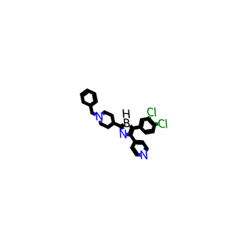 Clc1ccc(C2=C(c3ccncc3)N=C(C3CCN(CC4C=CC=CC4)CC3)B2)cc1Cl